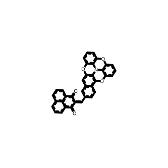 O=c1c(=Cc2ccc3c4c5c(cc3c2)Oc2cccc3c2N5c2c(cccc2O4)O3)c(=O)c2cccc3cccc1c32